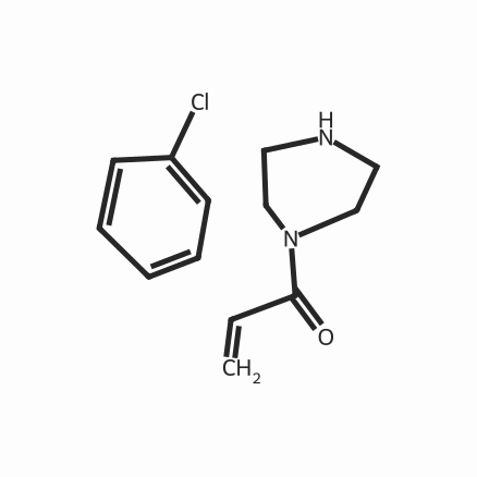 C=CC(=O)N1CCNCC1.Clc1ccccc1